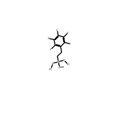 CCO[Si](CCc1c(F)c(F)c(F)c(F)c1F)(OC)OCC